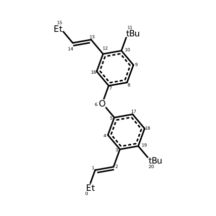 CC/C=C/c1cc(Oc2ccc(C(C)(C)C)c(/C=C/CC)c2)ccc1C(C)(C)C